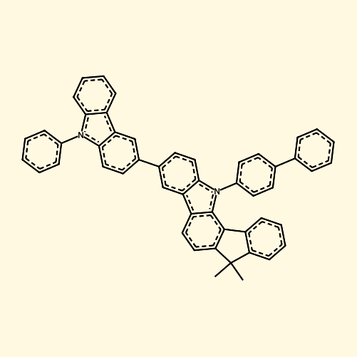 CC1(C)c2ccccc2-c2c1ccc1c3cc(-c4ccc5c(c4)c4ccccc4n5-c4ccccc4)ccc3n(-c3ccc(-c4ccccc4)cc3)c21